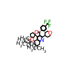 CC1(C)Cc2nc(C3CCOCC3)c3c(c2C(O[Si](C)(C)C(C)(C)C)C1)C1(CCCC1)O[C@@H]3c1ccc(C(F)(F)F)cc1